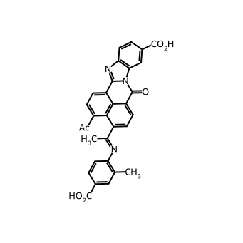 CC(=O)c1ccc2c3c1c(/C(C)=N/c1ccc(C(=O)O)cc1C)ccc3c(=O)n1c3cc(C(=O)O)ccc3nc21